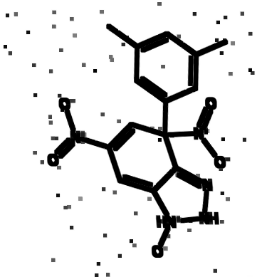 Cc1cc(C)cc(C2([N+](=O)[O-])C=C([N+](=O)[O-])C=C3C2=NN[NH+]3[O-])c1